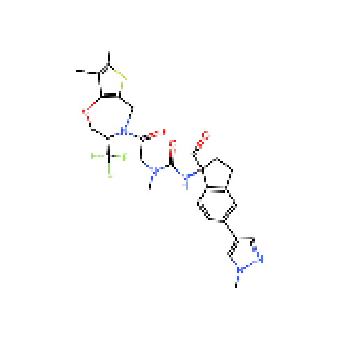 Cc1sc2c(c1C)OC[C@H](C(F)(F)F)N(C(=O)CN(C)C(=O)N[C@@]1(C=O)CCc3cc(-c4cnn(C)c4)ccc31)C2